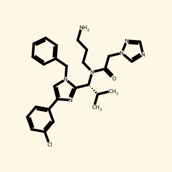 CC(C)[C@H](c1nc(-c2cccc(Cl)c2)cn1Cc1ccccc1)N(CCCN)C(=O)Cn1cncn1